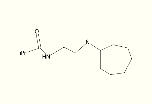 CC(C)C(=O)NCCN(C)C1CCCCCC1